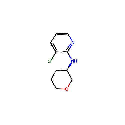 Clc1cccnc1N[C@@H]1CCCOC1